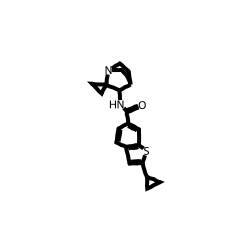 O=C(NC1C2CCN(CC2)C12CC2)c1ccc2cc(C3CC3)sc2c1